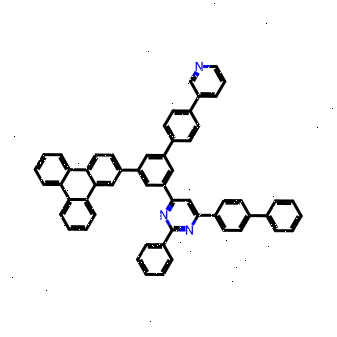 c1ccc(-c2ccc(-c3cc(-c4cc(-c5ccc(-c6cccnc6)cc5)cc(-c5ccc6c7ccccc7c7ccccc7c6c5)c4)nc(-c4ccccc4)n3)cc2)cc1